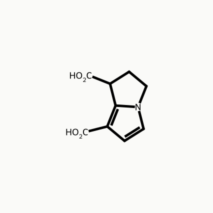 O=C(O)c1ccn2c1C(C(=O)O)CC2